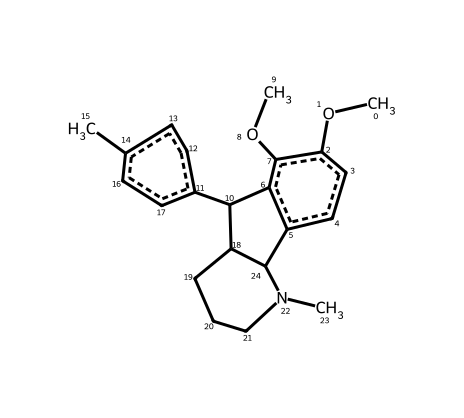 COc1ccc2c(c1OC)C(c1ccc(C)cc1)C1CCCN(C)C21